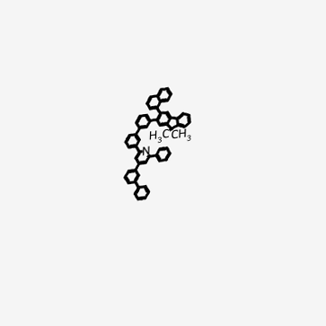 CC1(C)c2ccccc2-c2cc(-c3cccc4ccccc34)c(-c3cccc(-c4cccc(-c5cc(-c6cccc(-c7ccccc7)c6)cc(-c6ccccc6)n5)c4)c3)cc21